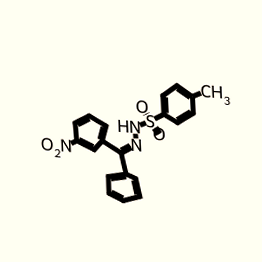 Cc1ccc(S(=O)(=O)N/N=C(/c2ccccc2)c2cccc([N+](=O)[O-])c2)cc1